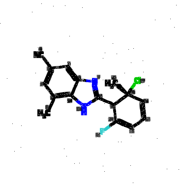 Cc1cc(C#N)cc2nc(C3C(F)=CC=C[C@@]3(C)Cl)[nH]c12